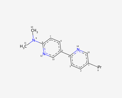 CC(C)c1ccc(-c2ccc(N(C)C)nc2)nc1